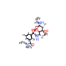 CCCN(CCC)C(=O)c1cc(C)cc(C(=O)N[C@@H](CC(C)C)[C@@H](O)[C@H](O)[C@@H](C)C(=O)NCC(C)C)c1